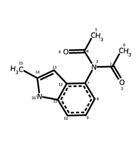 CC(=O)N(C(C)=O)c1cccc2c1C=C(C)[N]2